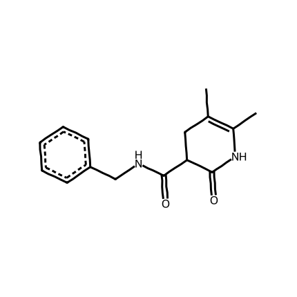 CC1=C(C)NC(=O)C(C(=O)NCc2ccccc2)C1